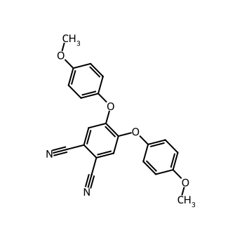 COc1ccc(Oc2cc(C#N)c(C#N)cc2Oc2ccc(OC)cc2)cc1